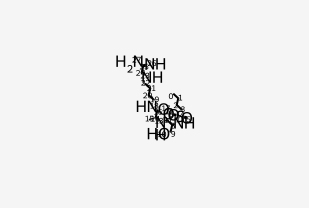 CCCCS(=O)(=O)NC(CO)C(=O)N[C@@H](C)C(=O)NCCCCNCC(=N)N